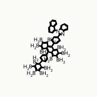 Bc1c(B)c(B)c(-c2ccc(-c3c4c(B)c(B)c(B)c(B)c4c(-c4ccc(-c5nc6ccccc6n5-c5cccc6ccccc56)cc4)c4c(B)c(B)c(B)c(B)c34)cc2)c(B)c1B